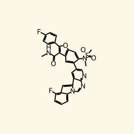 CNC(=O)c1c(-c2ccc(F)cc2)oc2cc(N(C)S(C)(=O)=O)c(-c3cnc4ncn5c6cccc(F)c6cc5c4c3)cc12